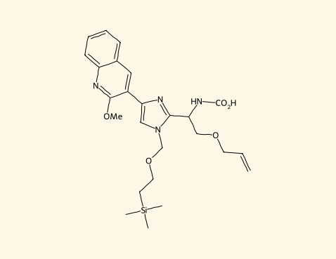 C=CCOCC(NC(=O)O)c1nc(-c2cc3ccccc3nc2OC)cn1COCC[Si](C)(C)C